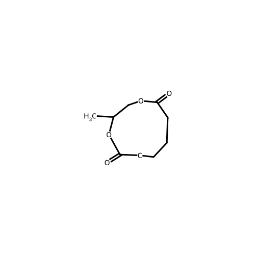 CC1COC(=O)CCCCC(=O)O1